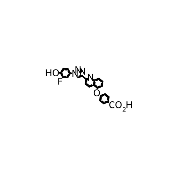 O=C(O)c1ccc(Oc2cccc3nc(-c4cn(-c5ccc(O)c(F)c5)nn4)ccc23)cc1